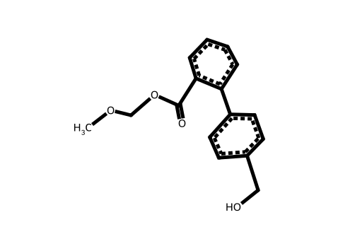 COCOC(=O)c1ccccc1-c1ccc(CO)cc1